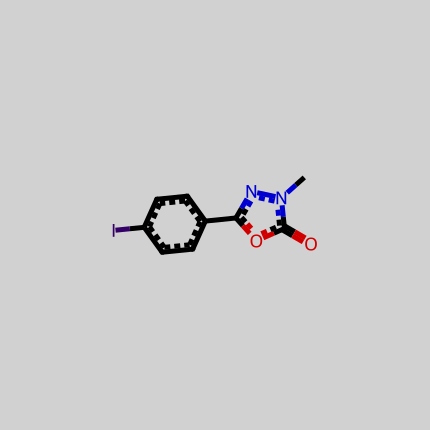 Cn1nc(-c2ccc(I)cc2)oc1=O